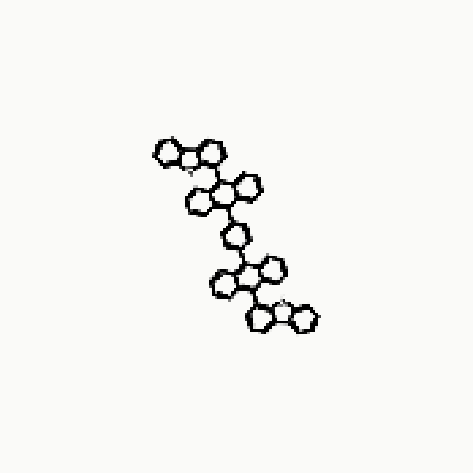 c1ccc2c(c1)sc1c(-c3c4ccccc4c(-c4ccc(-c5c6ccccc6c(-c6cccc7c6sc6ccccc67)c6ccccc56)cc4)c4ccccc34)cccc12